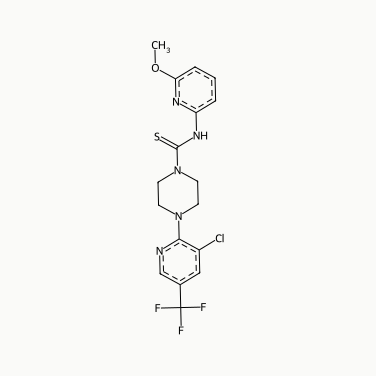 COc1cccc(NC(=S)N2CCN(c3ncc(C(F)(F)F)cc3Cl)CC2)n1